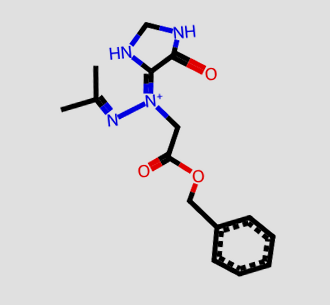 CC(C)=N[N+](CC(=O)OCc1ccccc1)=C1NCNC1=O